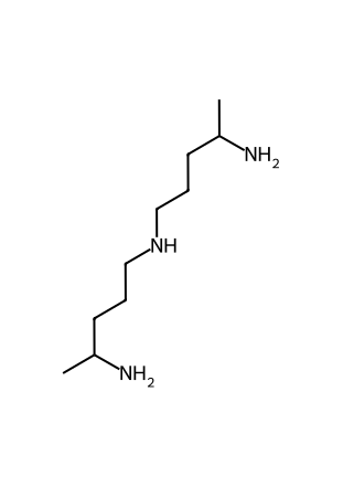 CC(N)CCCNCCCC(C)N